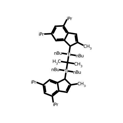 CCC[CH2][Ti]([CH2]CCC)([CH]1C(C)=Cc2c(C(C)C)cc(C(C)C)cc21)[C](C)(C)[Ti]([CH2]CCC)([CH2]CCC)[CH]1C(C)=Cc2c(C(C)C)cc(C(C)C)cc21